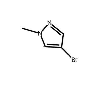 Cn1[c]c(Br)cn1